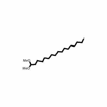 COC(CCCCCCCCCCC/C=C/CCI)OC